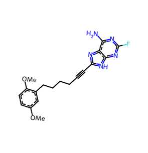 COc1ccc(OC)c(CCCCC#Cc2nc3c(N)nc(F)nc3[nH]2)c1